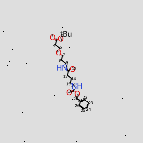 CC(C)(C)OC(=O)CCOCCCNC(=O)CCCNC(=O)OCc1ccccc1